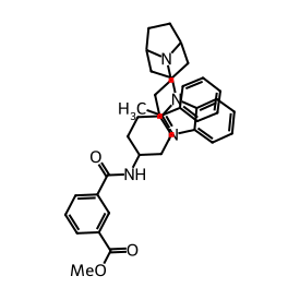 COC(=O)c1cccc(C(=O)NC2CCC(CCN3C4CCC3CC(n3c(C)nc5ccccc53)C4)(c3ccccc3)CC2)c1